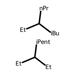 CCCC(C)C(CC)CC.CCCC(CC)C(C)CC